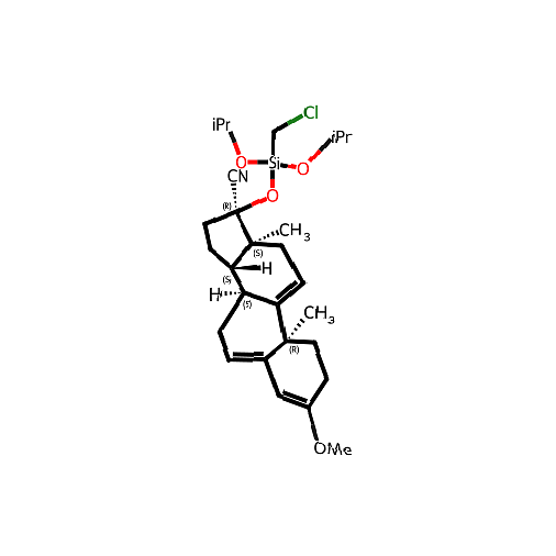 COC1=CC2=CC[C@@H]3C(=CC[C@@]4(C)[C@H]3CC[C@@]4(C#N)O[Si](CCl)(OC(C)C)OC(C)C)[C@@]2(C)CC1